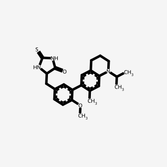 COc1ccc(CC2NC(=S)NC2=O)cc1-c1cc2c(cc1C)N(C(C)C)CCC2